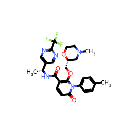 Cc1ccc(-n2c(OC[C@H]3CN(C)CCO3)c(C(=O)N[C@H](C)c3cnc(C(F)(F)F)nc3)ccc2=O)cc1